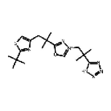 CC(C)(C)c1nc(CC(C)(C)c2n[n+](CC(C)(C)c3nnn[nH]3)co2)cs1